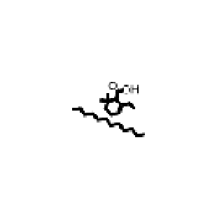 CCC1=CCCC(C)(C)C1C(=O)O.CCCCCCCCCCCC